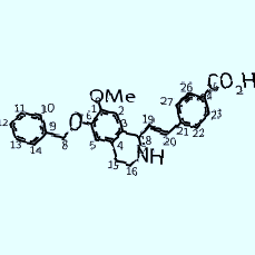 COc1cc2c(cc1OCc1ccccc1)CCNC2C=Cc1ccc(C(=O)O)cc1